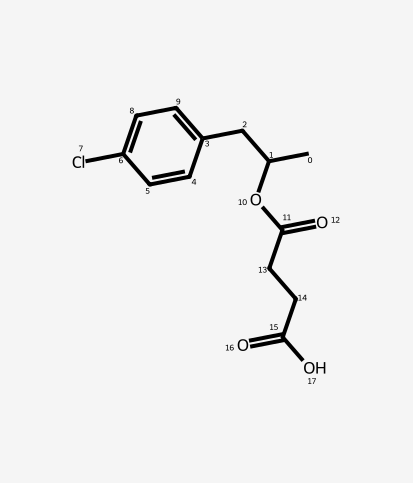 CC(Cc1ccc(Cl)cc1)OC(=O)CCC(=O)O